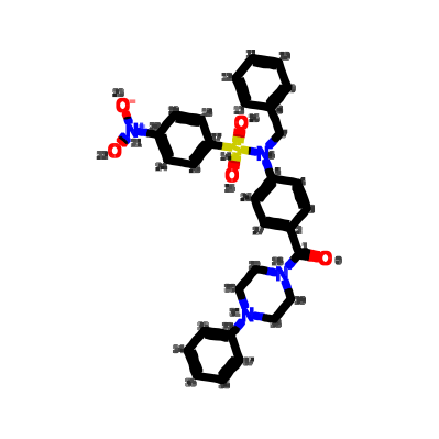 O=C(c1ccc(N(Cc2ccccc2)S(=O)(=O)c2ccc([N+](=O)[O-])cc2)cc1)N1CCN(c2ccccc2)CC1